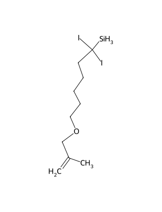 C=C(C)COCCCCCC([SiH3])(I)I